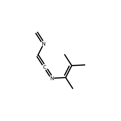 C=NC=C=NC(C)=C(C)C